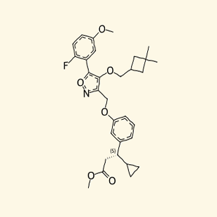 COC(=O)C[C@H](c1cccc(OCc2noc(-c3cc(OC)ccc3F)c2OCC2CC(C)(C)C2)c1)C1CC1